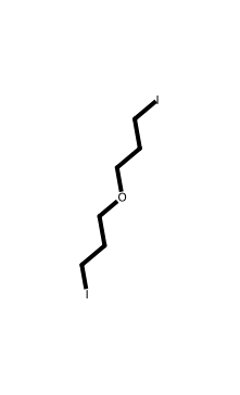 ICCCOCCCI